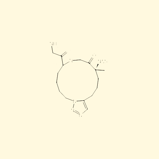 CN[C@@]1(C)CCCc2cnnn2CCCC[C@@](C)(C(=O)CN)NCC1=O